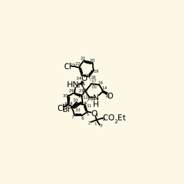 CCOC(=O)C(C)(C)Oc1ccc(Br)cc1[C@H]1NC(=O)C[C@@H](c2cccc(Cl)c2)[C@]12C(=O)Nc1cc(Cl)ccc12